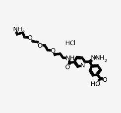 Cl.NCCCOCCOCCOCCCNC(=O)c1ccc(C(=NN)c2ccc(C(=O)O)cc2)nc1